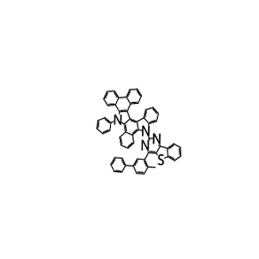 Cc1ccc(-c2ccccc2)cc1-c1nc(-n2c3ccccc3c3c4c5c6ccccc6c6ccccc6c5n(-c5ccccc5)c4c4ccccc4c32)nc2c1sc1ccccc12